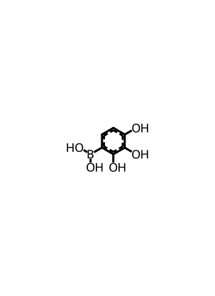 OB(O)c1ccc(O)c(O)c1O